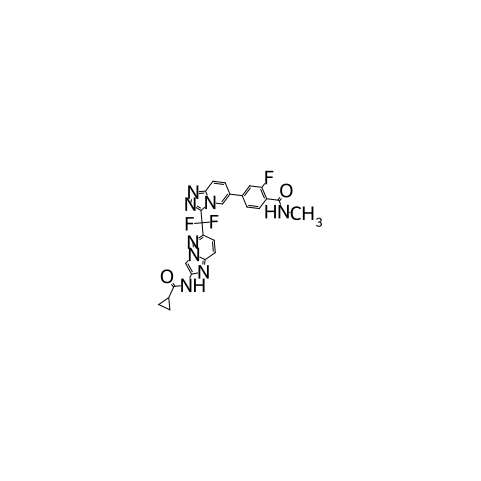 CNC(=O)c1ccc(-c2ccc3nnc(C(F)(F)c4ccc5nc(NC(=O)C6CC6)cn5n4)n3c2)cc1F